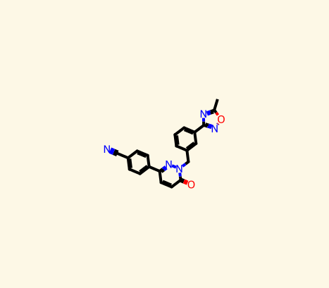 Cc1nc(-c2cccc(Cn3nc(-c4ccc(C#N)cc4)ccc3=O)c2)no1